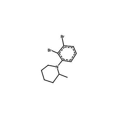 CC1CCCCN1c1cccc(Br)c1Br